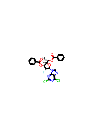 C[C@]1(COC(=O)c2ccccc2)O[C@@H](n2cnc3c(Cl)nc(Cl)nc32)[C@H](F)[C@@H]1OC(=O)c1ccccc1